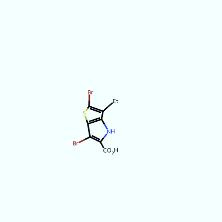 CCc1c(Br)sc2c(Br)c(C(=O)O)[nH]c12